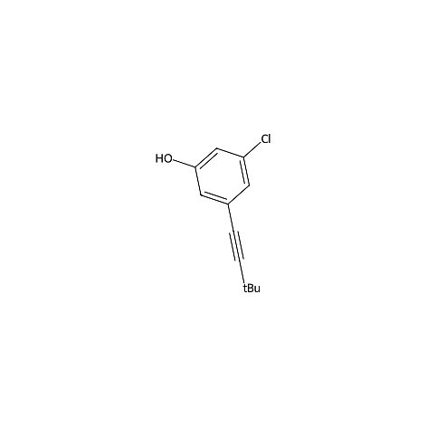 CC(C)(C)C#Cc1cc(O)cc(Cl)c1